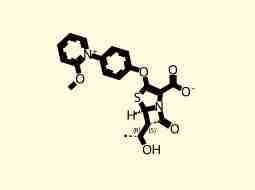 COc1cccc[n+]1-c1ccc(OC2=C(C(=O)[O-])N3C(=O)[C@H]([C@@H](C)O)[C@H]3S2)cc1